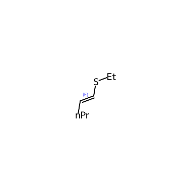 CCC/C=C/SCC